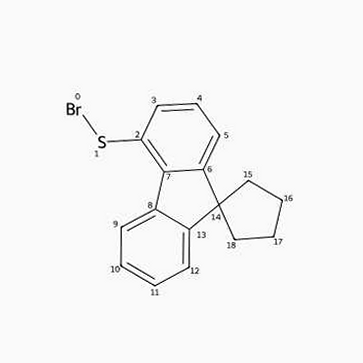 BrSc1cccc2c1-c1ccccc1C21CCCC1